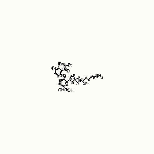 CCN(C(=O)c1cc(F)ccc1Oc1nncnc1N1CCC2(C1)CN(C(CCCCN)C(C)C)C2)C(C)C.O=CO